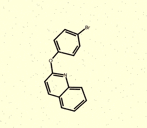 Brc1ccc(Oc2ccc3ccccc3n2)cc1